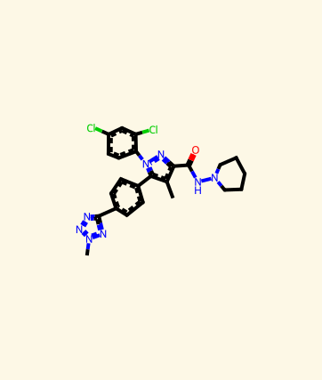 Cc1c(C(=O)NN2CCCCC2)nn(-c2ccc(Cl)cc2Cl)c1-c1ccc(-c2nnn(C)n2)cc1